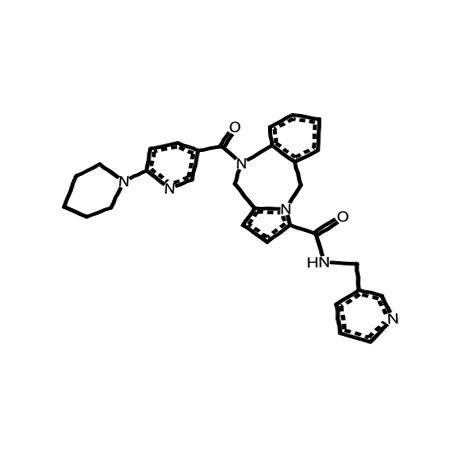 O=C(NCc1cccnc1)c1ccc2n1Cc1ccccc1N(C(=O)c1ccc(N3CCCCC3)nc1)C2